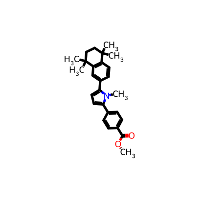 COC(=O)c1ccc(-c2ccc(-c3ccc4c(c3)C(C)(C)CCC4(C)C)n2C)cc1